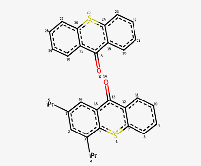 CC(C)c1cc(C(C)C)c2sc3ccccc3c(=O)c2c1.O=c1c2ccccc2sc2ccccc12